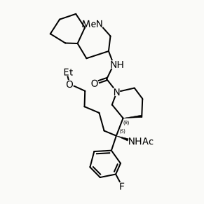 CCOCCCC[C@@](NC(C)=O)(c1cccc(F)c1)[C@@H]1CCCN(C(=O)NC(CNC)CC2CCCCC2)C1